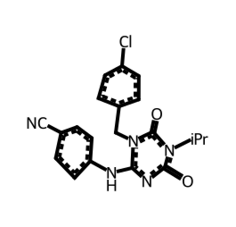 CC(C)n1c(=O)nc(Nc2ccc(C#N)cc2)n(Cc2ccc(Cl)cc2)c1=O